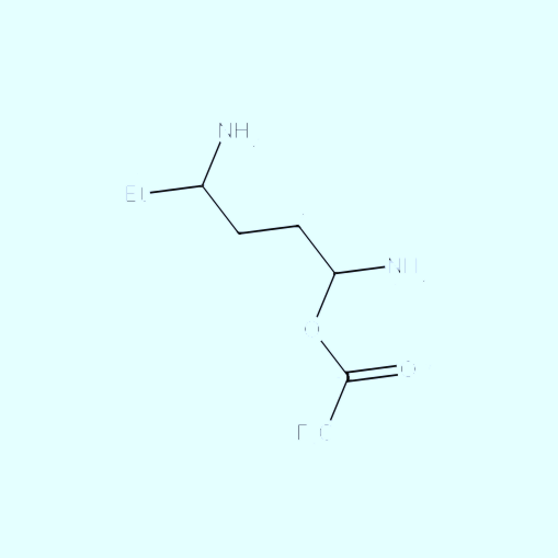 CCC(N)CCC(N)OC(=O)C(F)(F)F